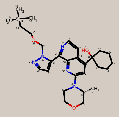 C[C@@H]1COCCN1c1cc(C2(O)CCCCC2)c2ccnc(-c3ccnn3COCC[Si](C)(C)C)c2n1